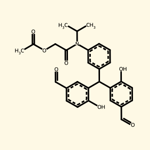 CC(=O)OCC(=O)N(c1cccc(C(c2cc(C=O)ccc2O)c2cc(C=O)ccc2O)c1)C(C)C